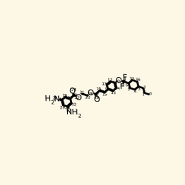 CCCC1CCC(C(F)(F)Oc2ccc(/C=C/C(=O)OCCOC(=O)c3cc(N)cc(N)c3)cc2)CC1